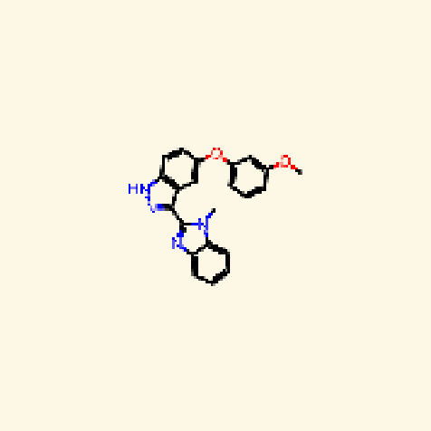 COc1cccc(Oc2ccc3[nH]nc(-c4nc5ccccc5n4C)c3c2)c1